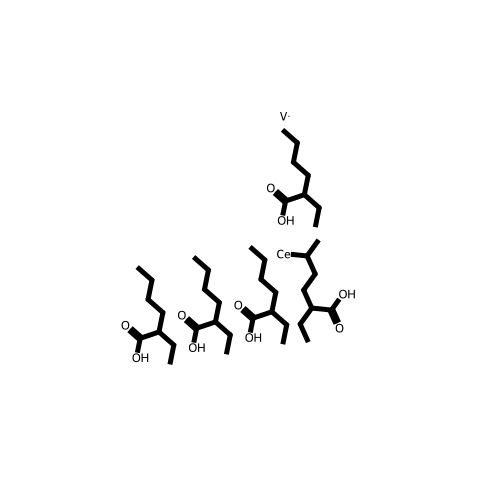 CCC(CC[CH](C)[Ce])C(=O)O.CCCCC(CC)C(=O)O.CCCCC(CC)C(=O)O.CCCCC(CC)C(=O)O.CCCCC(CC)C(=O)O.[V]